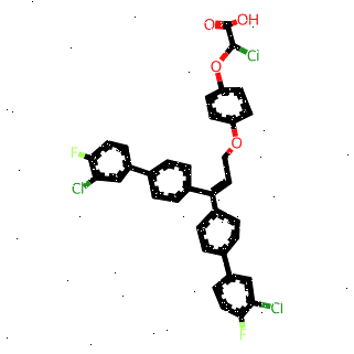 O=C(O)C(Cl)Oc1ccc(OCC=C(c2ccc(-c3ccc(F)c(Cl)c3)cc2)c2ccc(-c3ccc(F)c(Cl)c3)cc2)cc1